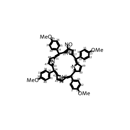 COc1ccc(-c2c3nc(c(-c4ccc(OC)cc4)c4cc(N=O)c([nH]4)c(-c4ccc(OC)cc4)c4nc(c(-c5ccc(OC)cc5)c5ccc2[nH]5)C=C4)C=C3)cc1